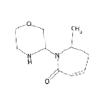 CC1CC=CC(=O)N1C1COCCN1